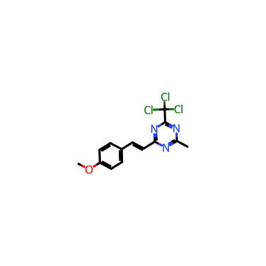 COc1ccc(C=Cc2nc(C)nc(C(Cl)(Cl)Cl)n2)cc1